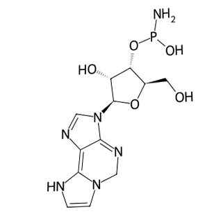 NP(O)O[C@H]1[C@@H](O)[C@H](n2cnc3c2=NCN2C=CNC=32)O[C@@H]1CO